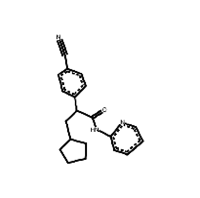 N#Cc1ccc(C(CC2CCCC2)C(=O)Nc2ccccn2)cc1